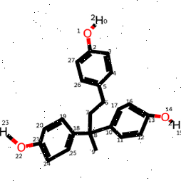 [2H]Oc1ccc(CCC(C)(c2ccc(O[2H])cc2)c2ccc(O[2H])cc2)cc1